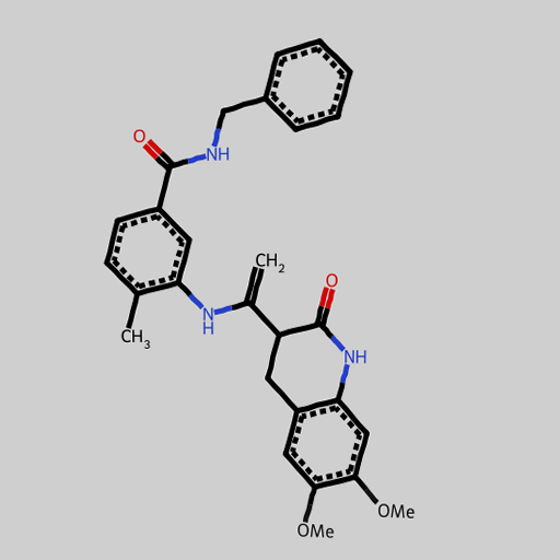 C=C(Nc1cc(C(=O)NCc2ccccc2)ccc1C)C1Cc2cc(OC)c(OC)cc2NC1=O